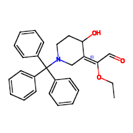 CCO/C(C=O)=C1\CN(C(c2ccccc2)(c2ccccc2)c2ccccc2)CCC1O